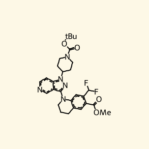 COC(=O)c1cc2c(cc1C(F)F)N(c1nn(C3CCN(C(=O)OC(C)(C)C)CC3)c3ccncc13)CCC2